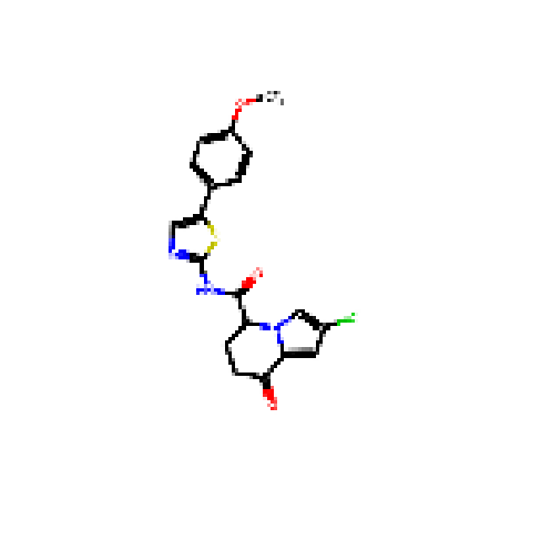 O=C1CCC(C(=O)Nc2ncc(-c3ccc(OC(F)(F)F)cc3)s2)n2cc(Cl)cc21